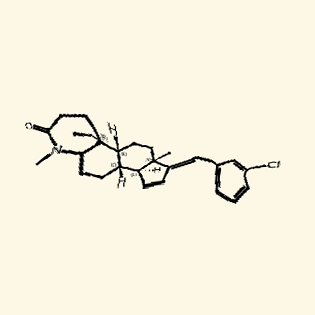 CN1C(=O)CC[C@@]2(C)C1CC[C@@H]1[C@H]2CC[C@]2(C)C(=Cc3cccc(Cl)c3)CC[C@@H]12